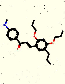 CCCOc1cc(OCCC)c(CCC)cc1C=CC(=O)c1ccc(NC)cc1